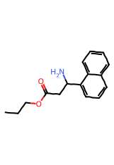 CCCOC(=O)CC(N)c1cccc2ccccc12